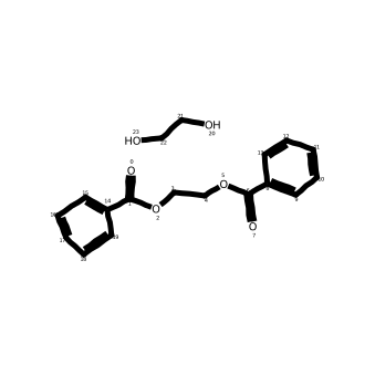 O=C(OCCOC(=O)c1ccccc1)c1ccccc1.OCCO